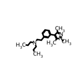 CCCN(CCC)CCc1cccc(-c2c(C)nn(C)c2C)c1